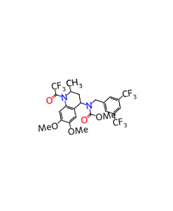 COC(=O)N(Cc1cc(C(F)(F)F)cc(C(F)(F)F)c1)C1CC(C)N(C(=O)C(F)(F)F)c2cc(OC)c(OC)cc21